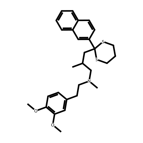 COc1ccc(CCN(C)CC(C)CC2(c3ccc4ccccc4c3)SCCCS2)cc1OC